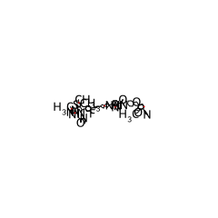 COc1cc(OC2CCC(NC(=O)c3ccc(N4CC5(CC(C#Cc6ccc(C7=NC(Cc8ncco8)c8nnc(C)n8-c8sc(C)c(C)c87)cc6F)C5)C4)nn3)CC2)ccc1C#N